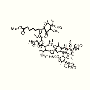 COC(=O)CCCCCO[C@H]1OC(C)[C@@H](NC=O)C(O)[C@H]1O[C@H]1OC(C)[C@@H](NC=O)C(O)[C@H]1O[C@H]1OC(C)[C@@H](NC=O)C(O[C@H]2OC(C)[C@@H](NC=O)C(O)C2O[C@H]2OC(C)[C@@H](NC=O)C(O)[C@H]2O[C@H]2OC(C)[C@@H](NC=O)C(O)C2O)C1O